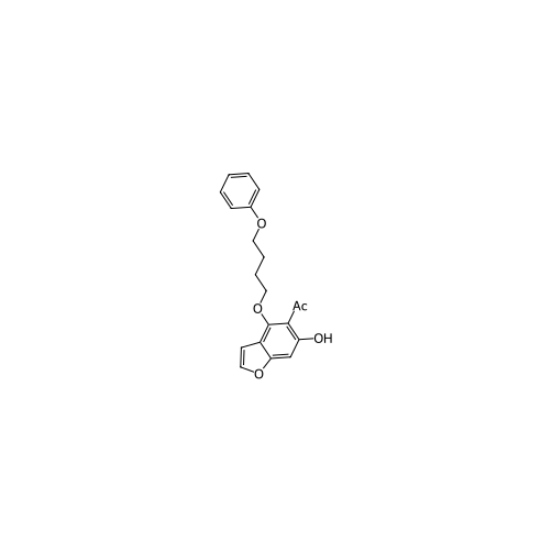 CC(=O)c1c(O)cc2occc2c1OCCCCOc1ccccc1